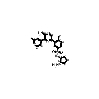 Cc1cc(-c2nc(-c3cc(S(=O)(=O)N[C@H]4CCC[C@@H]4N)ccc3C)cnc2N)ccn1